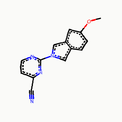 COc1ccc2cn(-c3nccc(C#N)n3)cc2c1